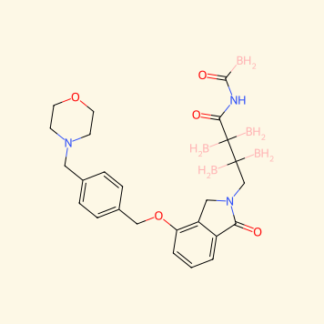 BC(=O)NC(=O)C(B)(B)C(B)(B)CN1Cc2c(OCc3ccc(CN4CCOCC4)cc3)cccc2C1=O